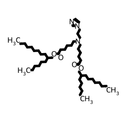 CCCCCCCCCC(CCCCCC)COC(=O)CCCCCN(CCCCCC(=O)OCC(CCCCCC)CCCCCCCC)CCCn1ccnc1